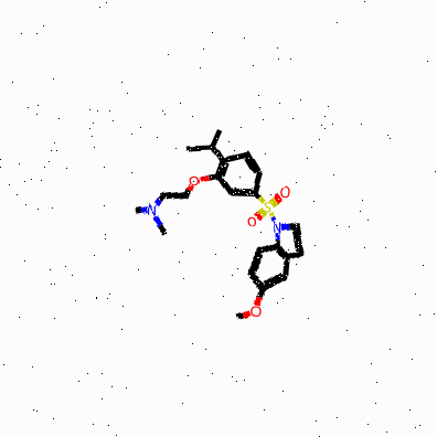 COc1ccc2c(ccn2S(=O)(=O)c2ccc(C(C)C)c(OCCN(C)C)c2)c1